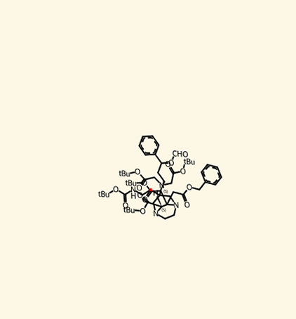 CC(C)(C)OC(=O)CN(CC(=O)OC(C)(C)C)C1(CCNC(=O)OC(C)(C)C)CN2CCN(C1)C(CC(=O)OCc1ccccc1)([C@H](CCC(OC=O)c1ccccc1)C(=O)OC(C)(C)C)[C@H]2C(=O)OC(C)(C)C